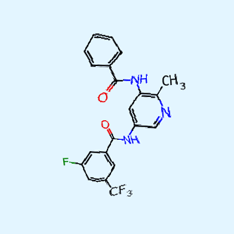 Cc1ncc(NC(=O)c2cc(F)cc(C(F)(F)F)c2)cc1NC(=O)c1ccccc1